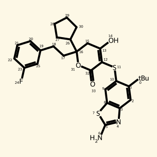 CC(C)(C)c1cc2nc(N)sc2cc1SC1=C(O)CC(CCc2cccc(F)c2)(C2CCCC2)OC1=O